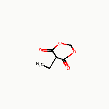 CCC1C(=O)OCOC1=O